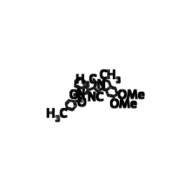 COC1=CC2=C3C(C#N)C(c4cn(S(=O)(=O)c5ccc(C)cc5)c5ccccc45)=C(C)N3C(C)CC2=CC1OC